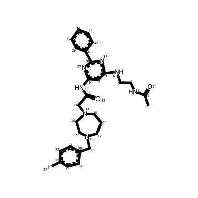 CC(=O)NCCNc1cc(NC(=O)CN2CCCN(Cc3ccc(F)cc3)CC2)nc(-c2ccccc2)n1